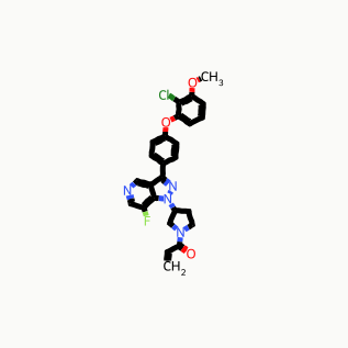 C=CC(=O)N1CCC(n2nc(-c3ccc(Oc4cccc(OC)c4Cl)cc3)c3cncc(F)c32)C1